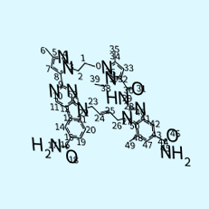 CCCn1nc(C)cc1-c1ncc2c3cc(C(N)=O)ccc3n(C/C=C/Cn3c(NC(=O)c4cc(C)nn4CC)nc4cc(C(N)=O)cc(C)c43)c2n1